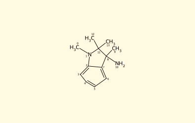 CN1c2ccccc2C(C)(N)C1(C)C